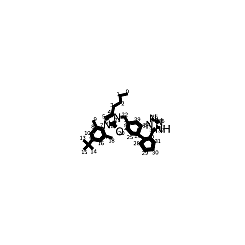 CCCCc1cn(-c2c(C)cc(C(C)(C)C)cc2C)c(=O)n1Cc1ccc(-c2ccccc2-c2nnn[nH]2)cc1